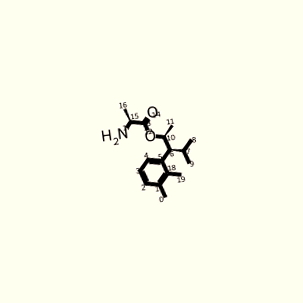 Cc1cccc([C@H](C(C)C)[C@H](C)OC(=O)[C@H](C)N)c1C